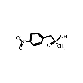 CP(=O)(O)Cc1ccc([N+](=O)[O-])cc1